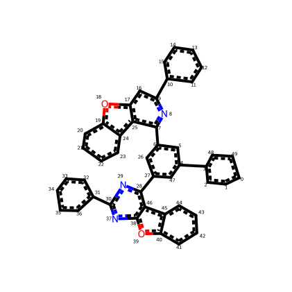 c1ccc(-c2cc(-c3nc(-c4ccccc4)cc4oc5ccccc5c34)cc(-c3nc(-c4ccccc4)nc4oc5ccccc5c34)c2)cc1